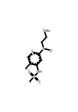 CCN(CCOC)c1cc(NS(C)(=O)=O)c(C)cn1